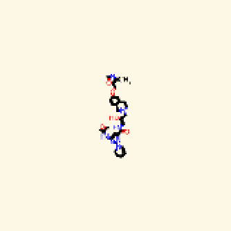 Cc1ncoc1COc1ccc2c(c1)CCN(CC(O)CNC(=O)c1cc(NC3COC3)nc(N3CCCCC3)n1)C2